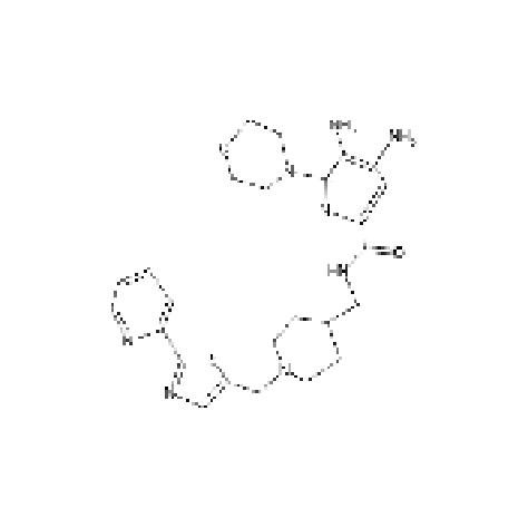 Nc1cc(C(=O)NCC2CCN(Cc3cnc(-c4ccccn4)s3)CC2)nc(N2CCOCC2)c1N